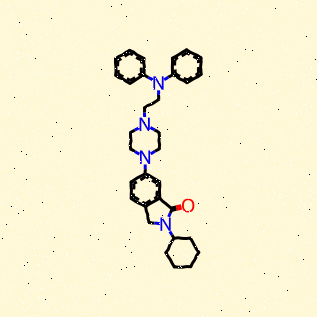 O=C1c2cc(N3CCN(CCN(c4ccccc4)c4ccccc4)CC3)ccc2CN1C1CCCCC1